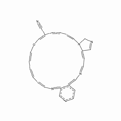 N#CC1=COC=CC=CC=CN=c2ccccc2=CN=CC=C2C=NCN2C=CC=C1